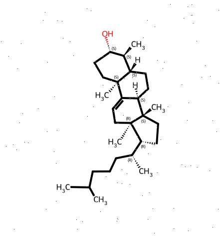 CC(C)CCC[C@@H](C)[C@H]1CC[C@@]2(C)[C@@H]3CC[C@H]4[C@H](C)[C@@H](O)CC[C@]4(C)C3=CC[C@]12C